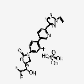 C=Cn1nnc(-c2ccc(-c3ccc(N4C[C@@H](C(O)C(F)F)OC4=O)cc3F)cn2)n1.O=P(O)(O)O